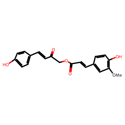 COc1cc(C=CC(=O)OCC(=O)/C=C/c2ccc(O)cc2)ccc1O